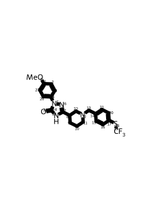 COc1ccc(-n2nc(C3CCCN(Cc4ccc(SC(F)(F)F)cc4)C3)[nH]c2=O)cc1